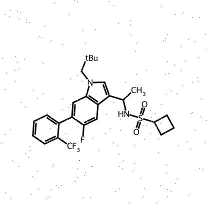 CC(NS(=O)(=O)C1CCC1)c1cn(CC(C)(C)C)c2cc(-c3ccccc3C(F)(F)F)c(F)cc12